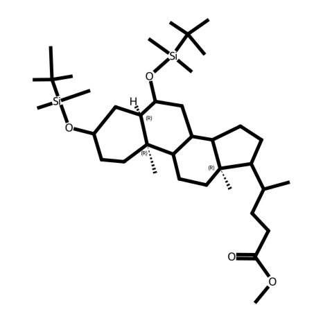 COC(=O)CCC(C)C1CCC2C3CC(O[Si](C)(C)C(C)(C)C)[C@@H]4CC(O[Si](C)(C)C(C)(C)C)CC[C@]4(C)C3CC[C@]12C